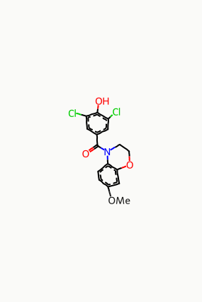 COc1ccc2c(c1)OCCN2C(=O)c1cc(Cl)c(O)c(Cl)c1